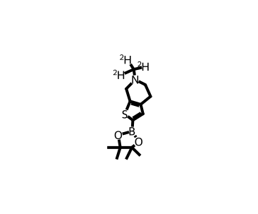 [2H]C([2H])([2H])N1CCc2cc(B3OC(C)(C)C(C)(C)O3)sc2C1